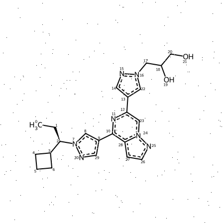 CC[C@H](C1CCC1)n1cc(-c2nc(-c3cnn(CC(O)CO)c3)cn3nccc23)cn1